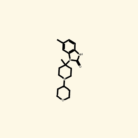 Cc1ccc2[nH]c(=O)n(C3(C)CCN(C4CCOCC4)CC3)c2c1